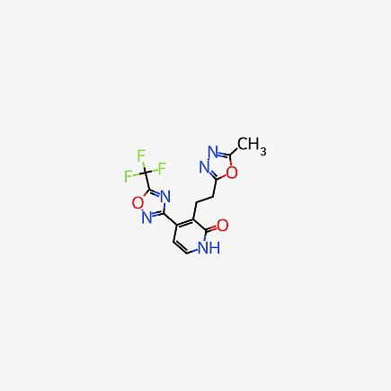 Cc1nnc(CCc2c(-c3noc(C(F)(F)F)n3)cc[nH]c2=O)o1